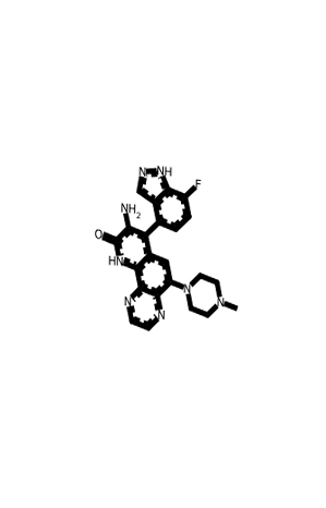 CN1CCN(c2cc3c(-c4ccc(F)c5[nH]ncc45)c(N)c(=O)[nH]c3c3nccnc23)CC1